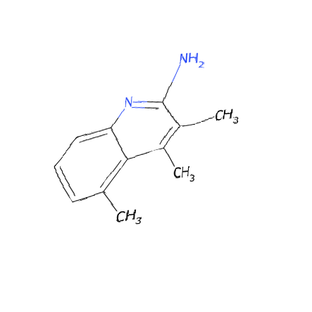 Cc1c(N)nc2cccc(C)c2c1C